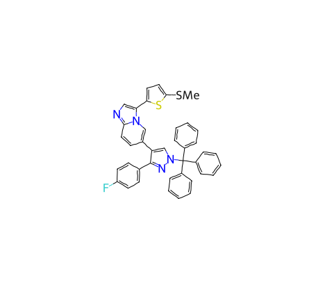 CSc1ccc(-c2cnc3ccc(-c4cn(C(c5ccccc5)(c5ccccc5)c5ccccc5)nc4-c4ccc(F)cc4)cn23)s1